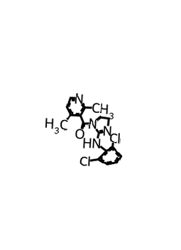 Cc1ccnc(C)c1C(=O)N1CCN=C1Nc1c(Cl)cccc1Cl